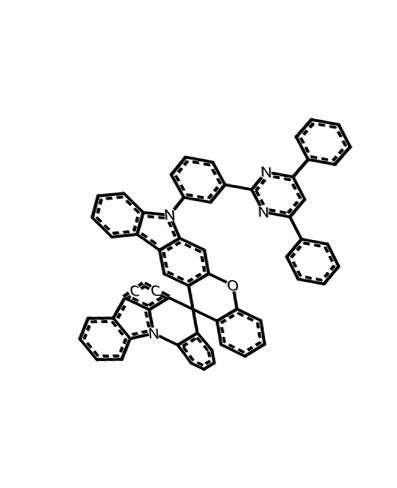 c1ccc(-c2cc(-c3ccccc3)nc(-c3cccc(-n4c5ccccc5c5cc6c(cc54)Oc4ccccc4C64c5ccccc5-n5c6ccccc6c6cccc4c65)c3)n2)cc1